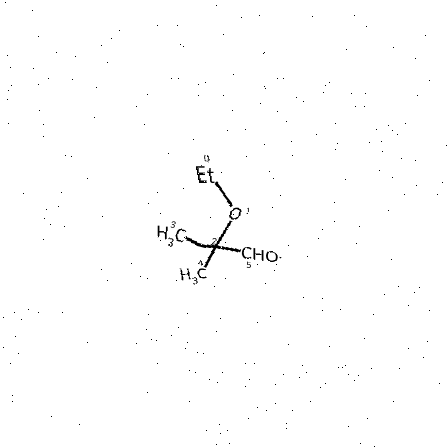 CCOC(C)(C)[C]=O